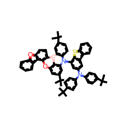 CC(C)(C)c1ccc(N(c2ccc(C(C)(C)C)cc2)c2cc(N3c4ccc(C(C)(C)C)cc4B4c5ccc6oc7ccccc7c6c5Oc5cc(C(C)(C)C)cc3c54)c3sc4ccccc4c3c2)cc1